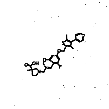 Cc1sc(COc2cc(F)c3c(c2)OCC(CN2CCC(C)(C(=O)O)C2)=C3)c(C)c1-c1ccccc1